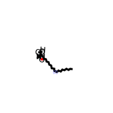 CCCCCCCC/C=C\CCCCCCCC(=O)NC(C(=O)[O-])[N+](C)(C)C